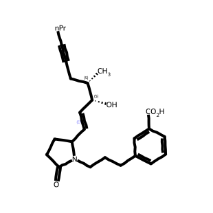 CCCC#CC[C@H](C)[C@H](O)/C=C/C1CCC(=O)N1CCCc1cccc(C(=O)O)c1